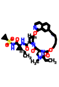 C=CC(=O)N(C)C[C@@H]1NC(=O)OCCC/C=C/c2ccc3ccnc(c3c2)O[C@@H]2C[C@@H](C(=O)N[C@]3(C(=O)NS(=O)(=O)C4CC4)C[C@H]3C=C)N(C2)C1=O